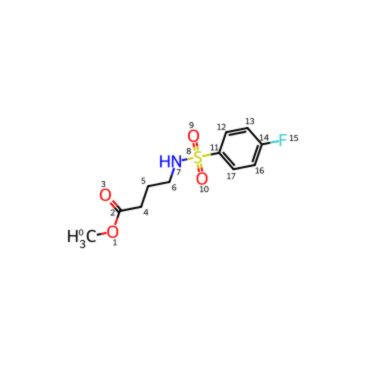 COC(=O)CCCNS(=O)(=O)c1ccc(F)cc1